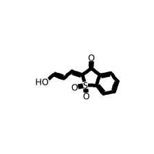 O=C1/C(=C/C=C/O)S(=O)(=O)c2ccccc21